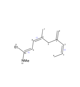 C=C(/C=C\C)C/C(C)=C\C=C(/CC)NC